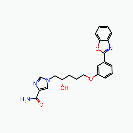 NC(=O)c1cn(C[C@@H](O)CCCOc2cccc(-c3nc4ccccc4o3)c2)cn1